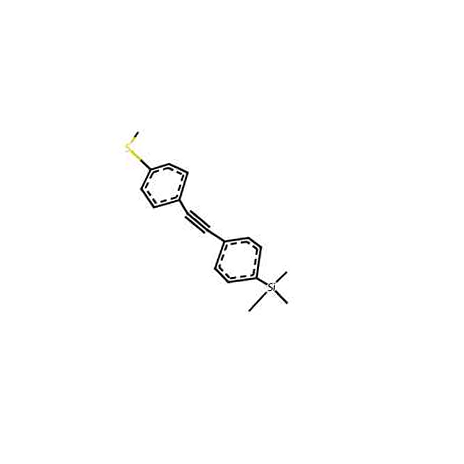 CSc1ccc(C#Cc2ccc([Si](C)(C)C)cc2)cc1